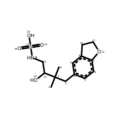 CC(C)(Cc1ccc2c(c1)CCO2)C(O)CNS(=O)(=O)O